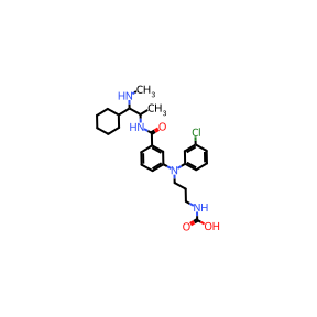 CNC(C1CCCCC1)C(C)NC(=O)c1cccc(N(CCCNC(=O)O)c2cccc(Cl)c2)c1